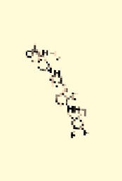 C[C@@H]1OCC2(CCN(c3cnc(Sc4cccc(NCc5cc(F)c(F)cc5Cl)c4Cl)cn3)CC2)[C@@H]1N